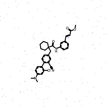 COC(=O)/C=C/c1cccc(NC(=O)C2(Cc3ccc(-c4ccc(N(C)C)cc4Cl)c(C#N)c3)CCCCC2)c1